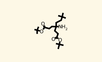 CC(C)(C)CCC(N)(CCC(=O)OC(C)(C)C)CCC(=O)OC(C)(C)C